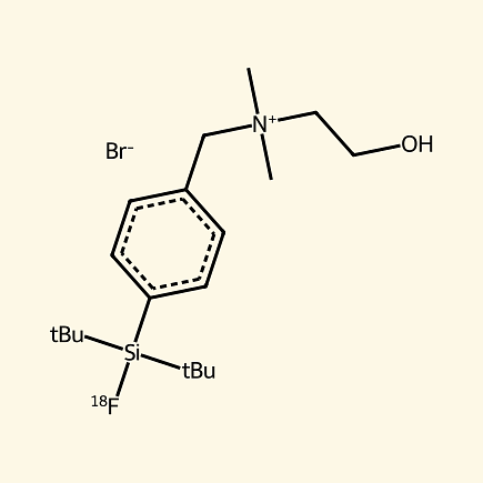 CC(C)(C)[Si]([18F])(c1ccc(C[N+](C)(C)CCO)cc1)C(C)(C)C.[Br-]